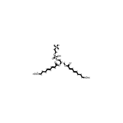 CCCCCCCCCCCCCC=CC=CC(=O)OC[C@@H](COP(=O)(O)OCC[N+](C)(C)C)OC(=O)C=CC=CCCCCCCCCCCCCC